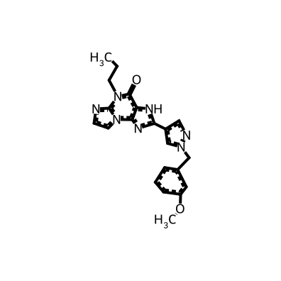 CCCn1c(=O)c2[nH]c(-c3cnn(Cc4cccc(OC)c4)c3)nc2n2ccnc12